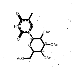 CC(=O)OCC1O[C@@H](n2cc(C)c(=O)[nH]c2=O)C(OC(C)=O)[C@@H](OC(C)=O)[C@H]1OC(C)=O